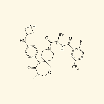 CC(C)[C@@H](NC(=O)c1cc(C(F)(F)F)ccc1F)C(=O)N1CCC2(CC1)COCN(C)C(=O)N2c1ccc(NC2CNC2)cc1